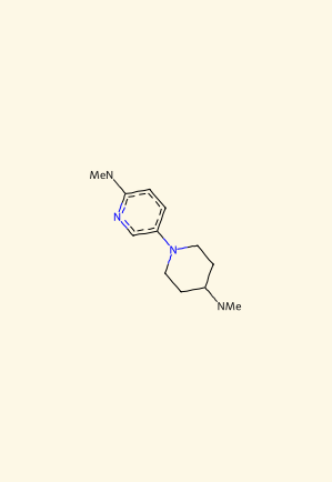 CNc1ccc(N2CCC(NC)CC2)cn1